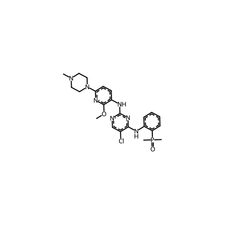 COc1nc(N2CCN(C)CC2)ccc1Nc1ncc(Cl)c(Nc2ccccc2P(C)(C)=O)n1